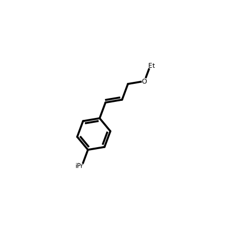 [CH2]COCC=Cc1ccc(C(C)C)cc1